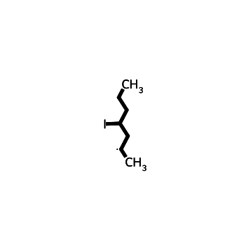 C[CH]CC(I)CCC